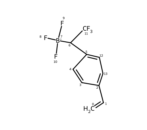 C=Cc1ccc(C([B-](F)(F)F)C(F)(F)F)cc1